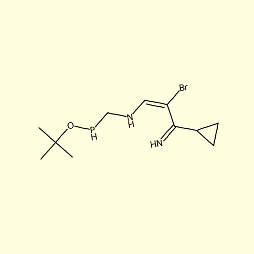 CC(C)(C)OPCN/C=C(/Br)C(=N)C1CC1